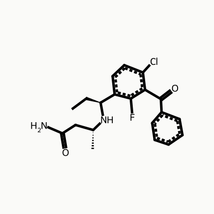 CC[C@H](N[C@H](C)CC(N)=O)c1ccc(Cl)c(C(=O)c2ccccc2)c1F